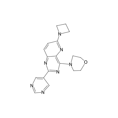 c1ncc(-c2nc(N3CCOCC3)c3nc(N4CCC4)ccc3n2)cn1